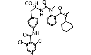 CN(C(=O)N[C@@H](Cc1ccc(NC(=O)c2c(Cl)cncc2Cl)cc1)C(=O)O)c1ccccc1C(=O)N(C)C1CCCCC1